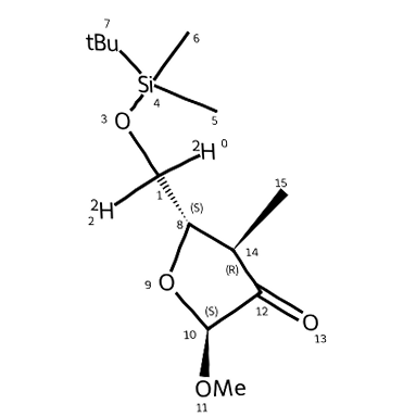 [2H]C([2H])(O[Si](C)(C)C(C)(C)C)[C@H]1O[C@H](OC)C(=O)[C@@H]1C